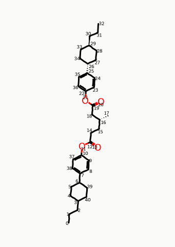 CCCC1CCC(c2ccc(OC(=O)CC[C@@H](C)CC(=O)Oc3ccc([C@H]4CC[C@H](CCC)CC4)cc3)cc2)CC1